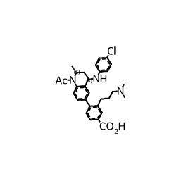 CC(=O)N1c2ccc(-c3ccc(C(=O)O)cc3CCCN(C)C)cc2[C@H](Nc2ccc(Cl)cc2)C[C@@H]1C